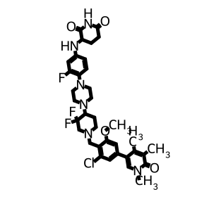 COc1cc(-c2cn(C)c(=O)c(C)c2C)cc(Cl)c1CN1CCC(N2CCN(c3ccc(NC4CCC(=O)NC4=O)cc3F)CC2)C(F)(F)C1